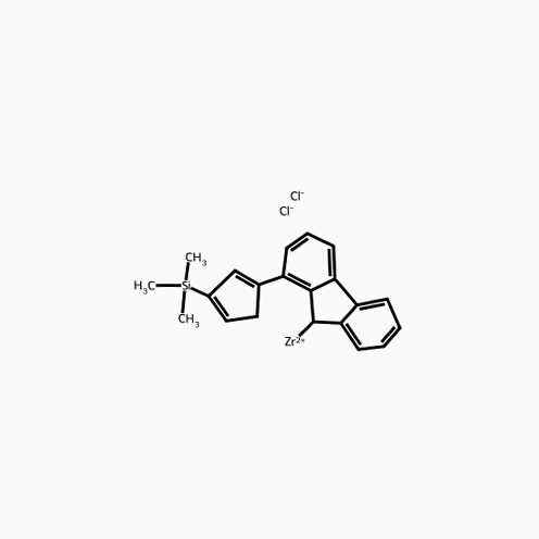 C[Si](C)(C)C1=CCC(c2cccc3c2[CH]([Zr+2])c2ccccc2-3)=C1.[Cl-].[Cl-]